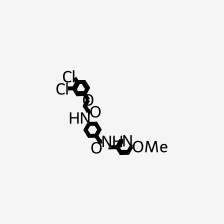 COc1ccc(CNC(=O)C2CCC(NC(=O)COc3ccc(Cl)c(Cl)c3)CC2)cn1